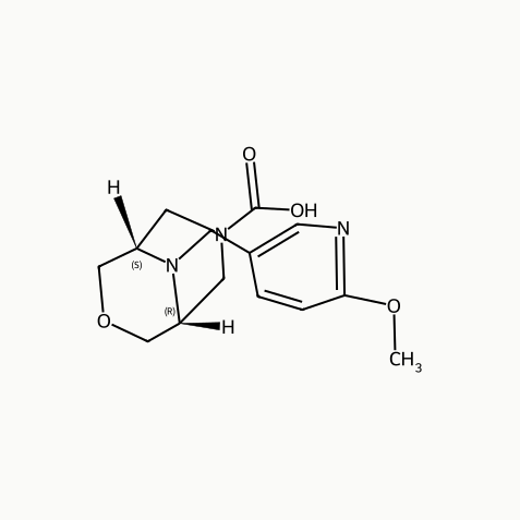 COc1ccc(CN2[C@@H]3COC[C@H]2CN(C(=O)O)C3)cn1